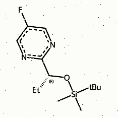 CC[C@@H](O[Si](C)(C)C(C)(C)C)c1ncc(F)cn1